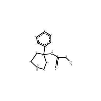 O=C(CCl)OC1(c2ccccc2)CCNCC1